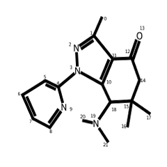 Cc1nn(-c2ccccn2)c2c1C(=O)CC(C)(C)C2N(C)C